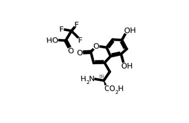 N[C@@H](Cc1cc(=O)oc2cc(O)cc(O)c12)C(=O)O.O=C(O)C(F)(F)F